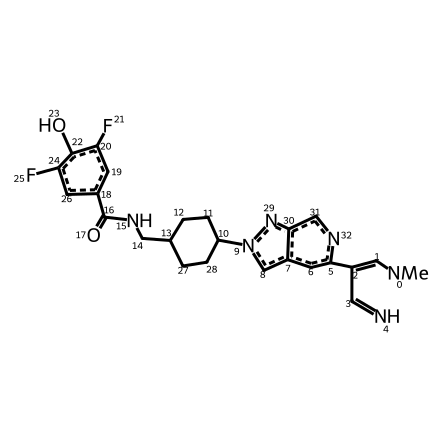 CN/C=C(\C=N)c1cc2cn(C3CCC(CNC(=O)c4cc(F)c(O)c(F)c4)CC3)nc2cn1